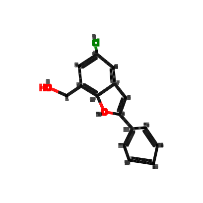 OCc1cc(Cl)cc2cc(-c3ccccc3)oc12